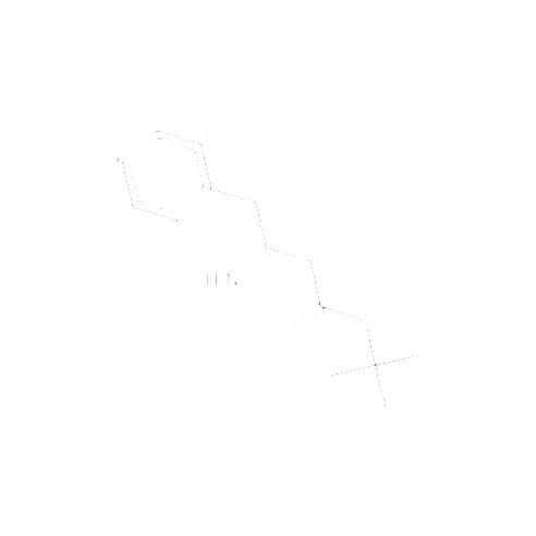 CC(C)(C)OC(=O)CC(N)Cc1ccccc1